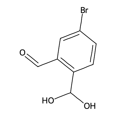 O=Cc1cc(Br)ccc1C(O)O